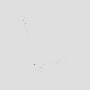 CCCCCCCCCCCCCCCCCC(=O)O[Si](CCCCCCCS)(OCC)OCC